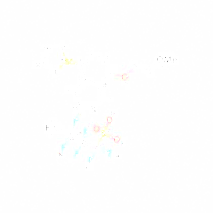 COCCOc1ccc([S+]2CCCC2)c2ccccc12.O=S(=O)([O-])C(F)(F)C(F)(F)C(F)(F)C(F)(F)F